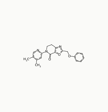 Cc1cnc(N2CCc3nc(COc4ccccc4)oc3C2=O)cc1C